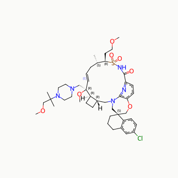 COCC[C@@H]1[C@@H](C)C/C=C/[C@](CN2CCN(C(C)(C)COC)CC2)(OC)[C@@H]2CC[C@H]2CN2C[C@@]3(CCCc4cc(Cl)ccc43)COc3ccc(nc32)C(=O)NS1(=O)=O